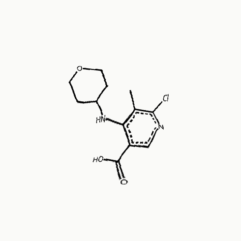 Cc1c(Cl)ncc(C(=O)O)c1NC1CCOCC1